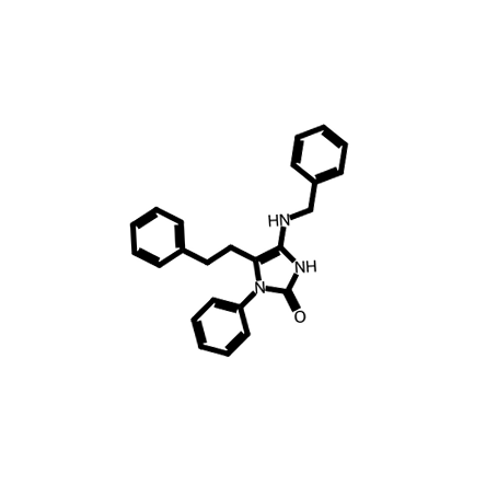 O=c1[nH]c(NCc2ccccc2)c(CCc2ccccc2)n1-c1ccccc1